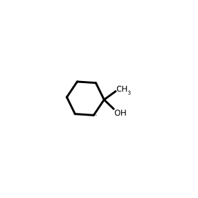 CC1(O)[CH]CCCC1